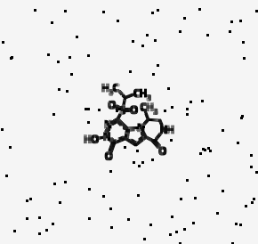 CC1CNC(=O)c2cc3c(=O)n(O)nc(S(=O)(=O)C(C)C)c3n21